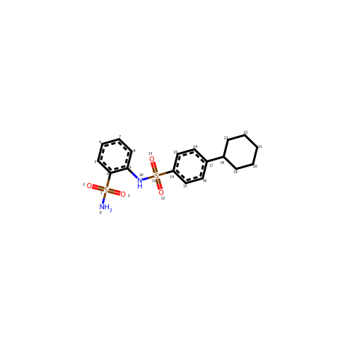 NS(=O)(=O)c1ccccc1NS(=O)(=O)c1ccc(C2CCCCC2)cc1